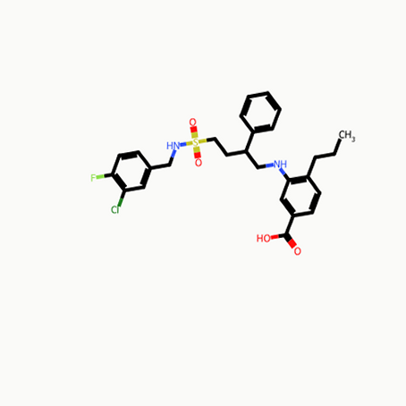 CCCc1ccc(C(=O)O)cc1NCC(CCS(=O)(=O)NCc1ccc(F)c(Cl)c1)c1ccccc1